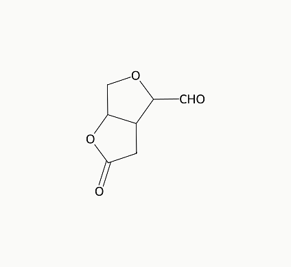 O=CC1OCC2OC(=O)CC12